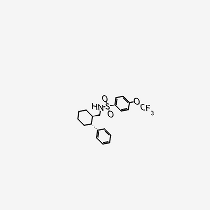 O=S(=O)(NC[C@@H]1CCCC[C@H]1c1ccccc1)c1ccc(OC(F)(F)F)cc1